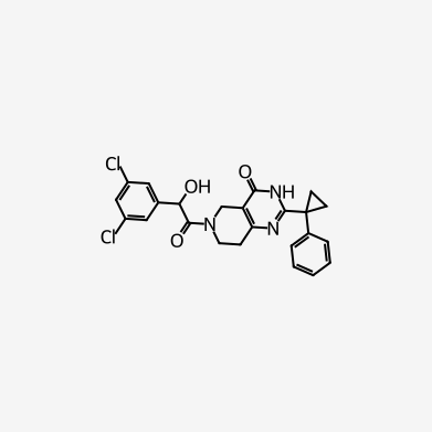 O=C(C(O)c1cc(Cl)cc(Cl)c1)N1CCc2nc(C3(c4ccccc4)CC3)[nH]c(=O)c2C1